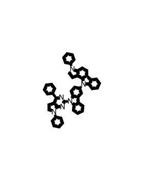 c1ccc(-c2nc(-n3c4ccccc4c4cc(-n5c6ccccc6c6ccc7c(ccn7-c7ccccc7)c65)ccc43)nc3c2ccn3-c2ccccc2)cc1